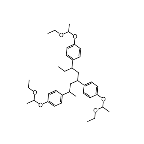 CCOC(C)Oc1ccc(C(C)CC(CC(CC)c2ccc(OC(C)OCC)cc2)c2ccc(OC(C)OCC)cc2)cc1